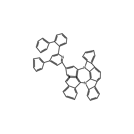 c1ccc(-c2cc(-c3cccc(-n4c5ccccc5c5ccc6c7ccccc7n(-c7cccc8ccccc78)c6c54)c3)nc(-c3ccccc3-c3ccccc3)c2)cc1